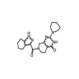 O=C(c1n[nH]c2c1CCCC2)N1CCc2c(nc(N3CCCCC3)[nH]c2=O)C1